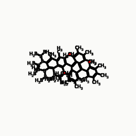 BBB(B(B)B)c1c(B(B(B)B)B(B)B)c(C)c2c(C)c(C)c(-c3c4c(C)c(C)c(C)c(C)c4c(-c4c(C)c(C)c(C)c(C)c4C)c4c(C)c(C)c(C)c(C)c34)c(B(B)BB)c2c1B(B)B(B)B